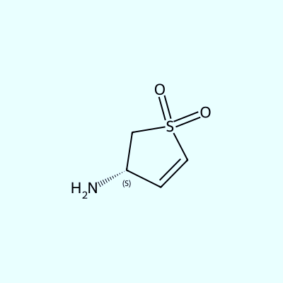 N[C@H]1C=CS(=O)(=O)C1